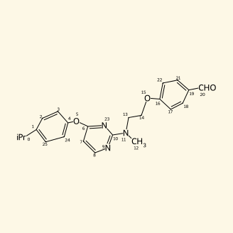 CC(C)c1ccc(Oc2ccnc(N(C)CCOc3ccc(C=O)cc3)n2)cc1